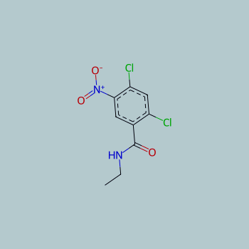 CCNC(=O)c1cc([N+](=O)[O-])c(Cl)cc1Cl